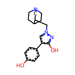 Oc1ccc(-c2cn(CC3CN4CCC3CC4)nc2O)cc1